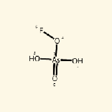 O=[As](O)(O)OF